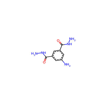 NNC(=O)c1cc(N)cc(C(=O)NN)c1